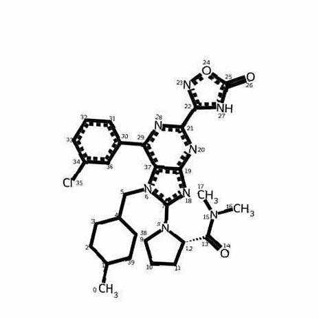 CC1CCC(Cn2c(N3CCC[C@H]3C(=O)N(C)C)nc3nc(-c4noc(=O)[nH]4)nc(-c4cccc(Cl)c4)c32)CC1